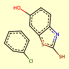 Clc1ccccc1.Oc1ccc2nc(S)sc2c1